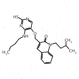 CCCCNc1nc(S)ncc1OCc1cc2ccccc2n(CCC(C)C)c1=O